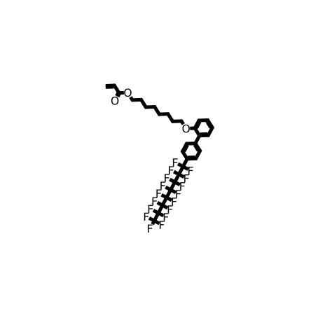 C=CC(=O)OCCCCCCCCOc1ccccc1-c1ccc(C(F)(F)C(F)(F)C(F)(F)C(F)(F)C(F)(F)C(F)(F)C(F)(F)C(F)(F)F)cc1